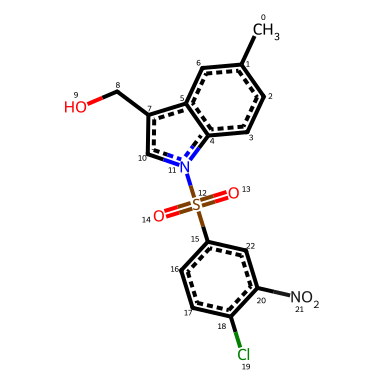 Cc1ccc2c(c1)c(CO)cn2S(=O)(=O)c1ccc(Cl)c([N+](=O)[O-])c1